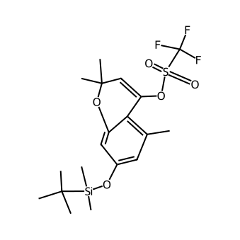 Cc1cc(O[Si](C)(C)C(C)(C)C)cc2c1C(OS(=O)(=O)C(F)(F)F)=CC(C)(C)O2